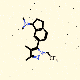 Cc1nn(CC(F)(F)F)c(-c2ccc3c(c2)C(N(C)C)CC3)c1C